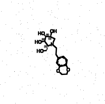 OC[C@@H]1[C@@H](O)[C@H](O)[C@@H](O)CN1CCc1ccc2c(c1)OCCO2